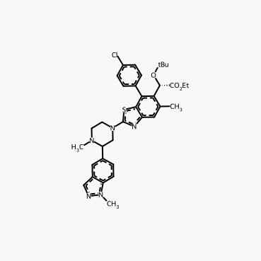 CCOC(=O)[C@@H](OC(C)(C)C)c1c(C)cc2nc(N3CCN(C)C(c4ccc5c(cnn5C)c4)C3)sc2c1-c1ccc(Cl)cc1